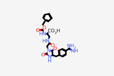 N=C(N)c1ccc(CC2NC(=O)N(CC(=O)NCC(NC(=O)OCc3ccccc3)C(=O)O)C2=O)cc1